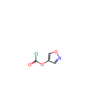 O=C(Cl)Oc1cnoc1